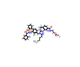 CCCCc1nn(-c2cc(C(=O)NCCOC)ccc2C(F)(F)F)c(=O)n1Cc1ccc(-c2ccccc2S(=O)(=O)NC(=O)c2ccccc2F)cc1F